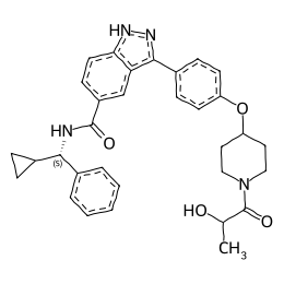 CC(O)C(=O)N1CCC(Oc2ccc(-c3n[nH]c4ccc(C(=O)N[C@H](c5ccccc5)C5CC5)cc34)cc2)CC1